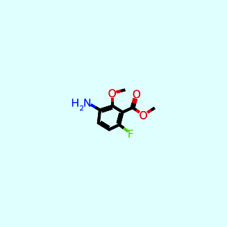 COC(=O)c1c(F)ccc(N)c1OC